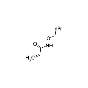 C=CC(=O)NOCCCC